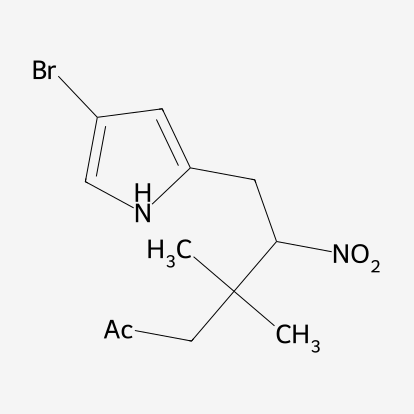 CC(=O)CC(C)(C)C(Cc1cc(Br)c[nH]1)[N+](=O)[O-]